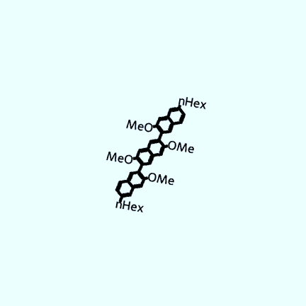 CCCCCCc1ccc2cc(-c3cc4cc(OC)c(-c5cc6ccc(CCCCCC)cc6cc5OC)cc4cc3OC)c(OC)cc2c1